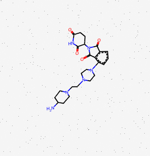 NC1CCN(CCN2CCN(c3cccc4c3C(=O)N(C3CCC(=O)NC3=O)C4=O)CC2)CC1